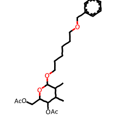 CC(=O)OCC1OC(OCCCCCCOCc2ccccc2)C(C)C(C)C1OC(C)=O